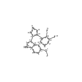 COc1cnc2[nH]cc(-c3nncn3-c3cccc(F)c3F)c2c1